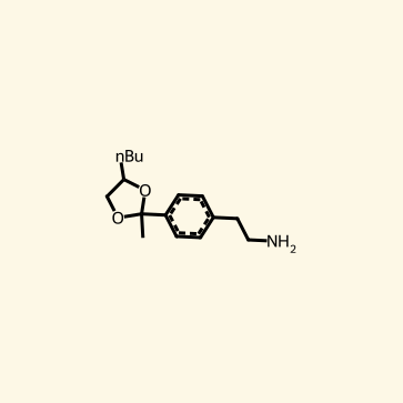 CCCCC1COC(C)(c2ccc(CCN)cc2)O1